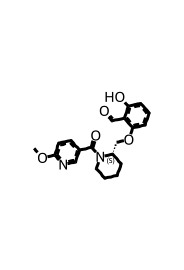 COc1ccc(C(=O)N2CCCC[C@H]2COc2cccc(O)c2C=O)cn1